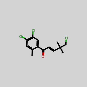 Cc1cc(Cl)c(Cl)cc1C(=O)C=CC(C)(C)CCl